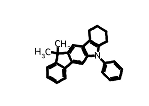 CC1(C)c2ccccc2-c2cc3c(cc21)c1c(n3-c2ccccc2)CCCC1